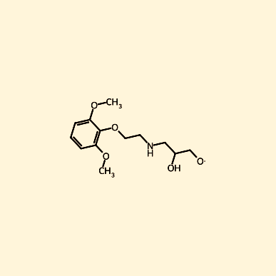 COc1cccc(OC)c1OCCNCC(O)C[O]